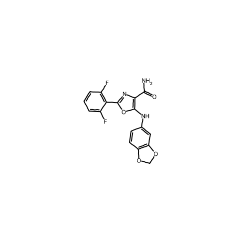 NC(=O)c1nc(-c2c(F)cccc2F)oc1Nc1ccc2c(c1)OCO2